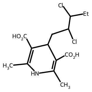 CCC(Cl)C(Cl)CC1C(C(=O)O)=C(C)NC(C)=C1C(=O)O